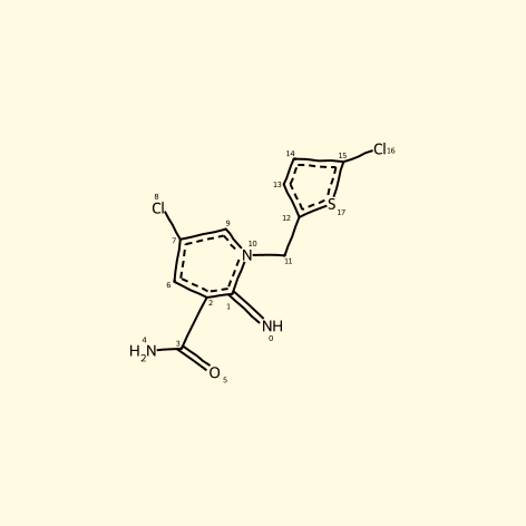 N=c1c(C(N)=O)cc(Cl)cn1Cc1ccc(Cl)s1